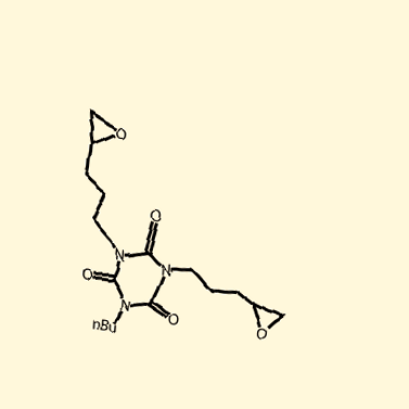 CCCCn1c(=O)n(CCCC2CO2)c(=O)n(CCCC2CO2)c1=O